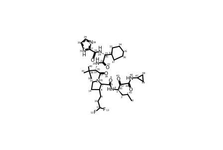 CCC[C@@H](NC(=O)C1C(CCC(F)F)CCN1C(=O)[C@@H](NC(=O)[C@H](NC(=O)c1ncc[nH]1)C1CCCCC1)C(C)(C)C)C(=O)C(=O)NC1CC1